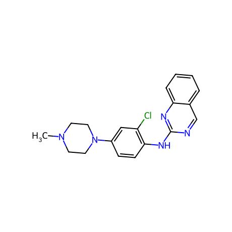 CN1CCN(c2ccc(Nc3ncc4ccccc4n3)c(Cl)c2)CC1